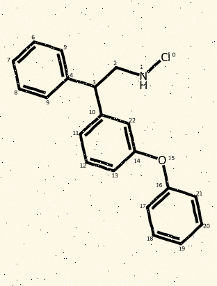 ClNCC(c1ccccc1)c1cccc(Oc2ccccc2)c1